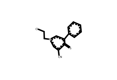 N#Cc1cn(CCCl)cc(-c2ccccc2)c1=S